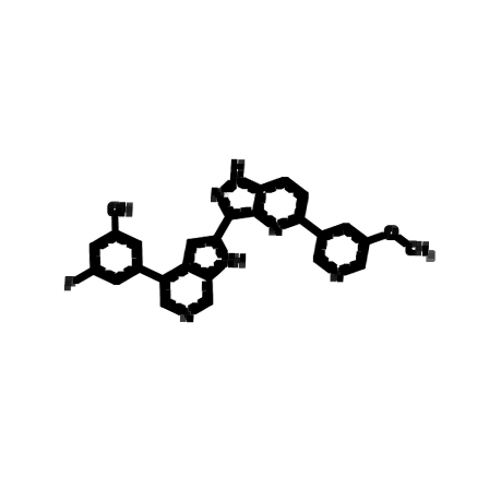 COc1cncc(-c2ccc3[nH]nc(-c4cc5c(-c6cc(O)cc(F)c6)cncc5[nH]4)c3n2)c1